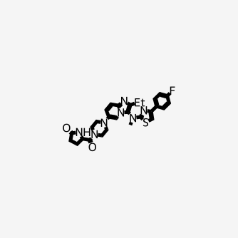 CCc1nc2ccc(N3CCN(C(=O)C4CCC(=O)N4)CC3)cn2c1N(C)c1nc(-c2ccc(F)cc2)cs1